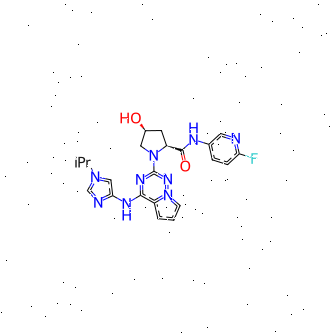 CC(C)n1cnc(Nc2nc(N3C[C@@H](O)C[C@H]3C(=O)Nc3ccc(F)nc3)nn3cccc23)c1